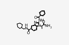 CC(C(N)=O)n1c(NC(=O)c2ccccc2)nc2cc(C(=O)NCC3CCCCC3)ccc21